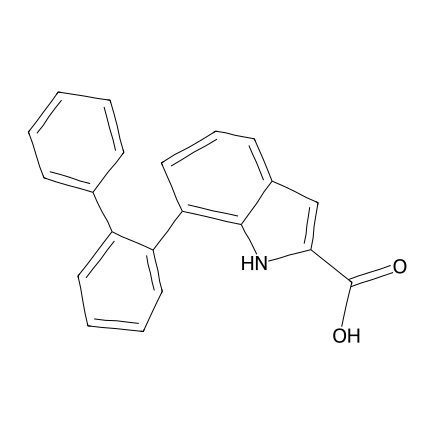 O=C(O)c1cc2cccc(-c3ccccc3-c3ccccc3)c2[nH]1